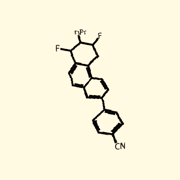 CCCC1C(F)Cc2c(ccc3cc(-c4ccc(C#N)cc4)ccc23)C1F